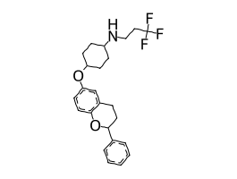 FC(F)(F)CCNC1CCC(Oc2ccc3c(c2)CCC(c2ccccc2)O3)CC1